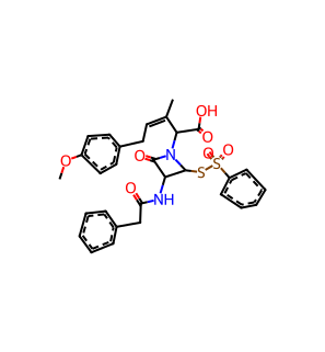 COc1ccc(CC=C(C)C(C(=O)O)N2C(=O)C(NC(=O)Cc3ccccc3)C2SS(=O)(=O)c2ccccc2)cc1